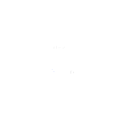 CCCCCC#CC[N+]1(C)CCC(CC)CC1